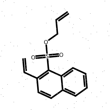 C=CCOS(=O)(=O)c1c(C=C)ccc2ccccc12